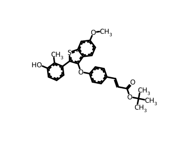 COc1ccc2c(Oc3ccc(/C=C/C(=O)OC(C)(C)C)cc3)c(-c3cccc(O)c3C)sc2c1